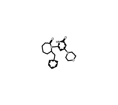 O=C1CCCCC(Cc2ccccc2)N1c1cc(N2CCOCC2)cc(=O)[nH]1